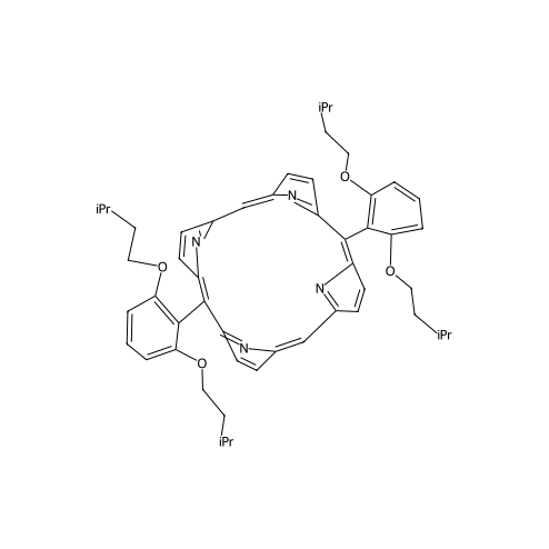 CC(C)CCOc1cccc(OCCC(C)C)c1C1=C2C=CC(=N2)C=C2C=CC(=N2)C(c2c(OCCC(C)C)cccc2OCCC(C)C)=C2C=CC(=N2)C=C2C=CC1=N2